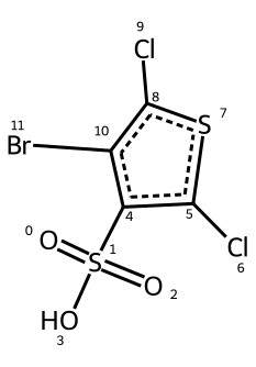 O=S(=O)(O)c1c(Cl)sc(Cl)c1Br